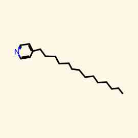 CCCCCCCCCCCCCCc1ccncc1